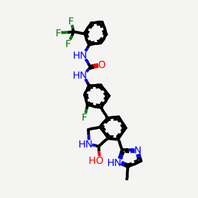 Cc1cnc(-c2ccc(-c3ccc(NC(=O)Nc4ccccc4C(F)(F)F)cc3F)c3c2C(O)NC3)[nH]1